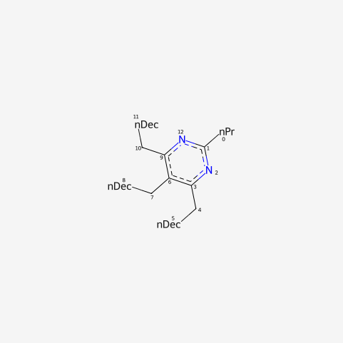 [CH2]CCc1nc(CCCCCCCCCCC)c(CCCCCCCCCCC)c(CCCCCCCCCCC)n1